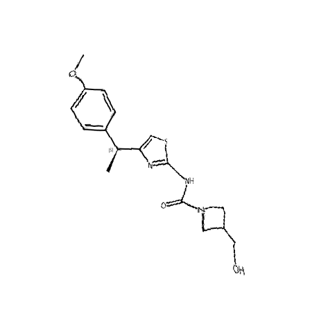 COc1ccc([C@H](C)c2csc(NC(=O)N3CC(CO)C3)n2)cc1